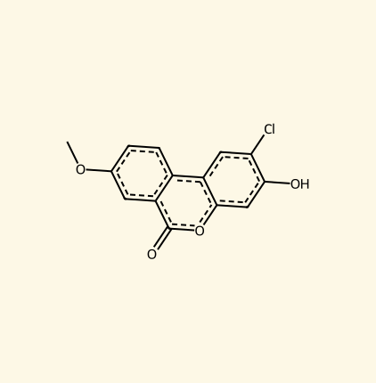 COc1ccc2c(c1)c(=O)oc1cc(O)c(Cl)cc12